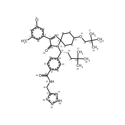 Cc1cc(Cl)cc(C2=NC3(CCC(OCC(C)(C)C)CC3)N([C@H](CCC(C)(C)C)c3ccc(C(=O)NCc4nn[nH]n4)cc3)C2=O)c1